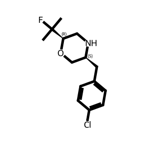 CC(C)(F)[C@H]1CN[C@@H](Cc2ccc(Cl)cc2)CO1